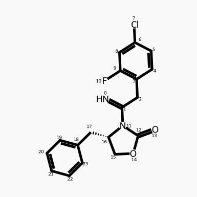 N=C(Cc1ccc(Cl)cc1F)N1C(=O)OC[C@@H]1Cc1ccccc1